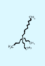 CCCCCCCCC[N+](CCCC)(CCCC)CCCC